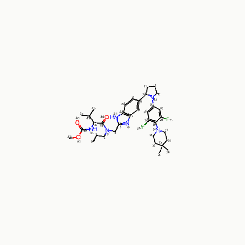 CCCN(Cc1nc2cc([C@H]3CCCN3c3cc(F)c(N4CCC(C)(C)CC4)c(F)c3)ccc2[nH]1)C(=O)C(NC(=O)OC)C(C)C